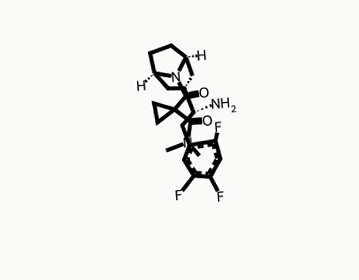 CN(C)C(=O)C1(C(=O)N2[C@@H]3CC[C@H]2C[C@H]([C@H](N)Cc2cc(F)c(F)cc2F)C3)CC1